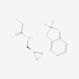 CCC(=O)NC[C@@H]1C[C@H]1c1cccc2c1CC(C)(C)O2